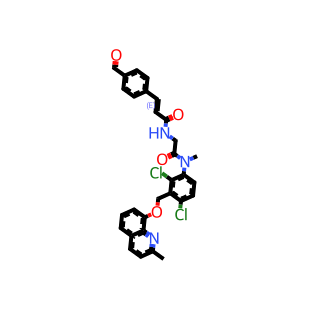 Cc1ccc2cccc(OCc3c(Cl)ccc(N(C)C(=O)CNC(=O)/C=C/c4ccc(C=O)cc4)c3Cl)c2n1